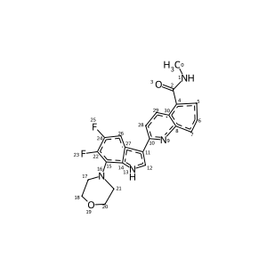 CNC(=O)c1cccc2nc(-c3c[nH]c4c(N5CCOCC5)c(F)c(F)cc34)ccc12